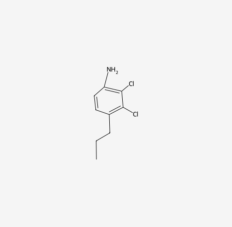 CCCc1ccc(N)c(Cl)c1Cl